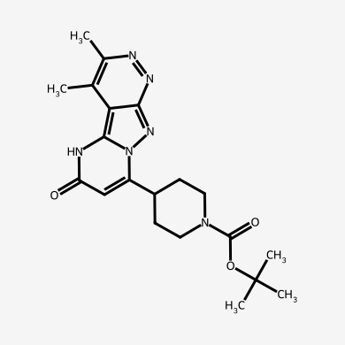 Cc1nnc2nn3c(C4CCN(C(=O)OC(C)(C)C)CC4)cc(=O)[nH]c3c2c1C